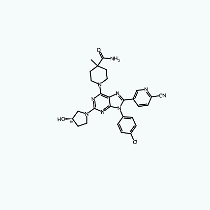 CC1(C(N)=O)CCN(c2nc(N3CC[C@@H](O)C3)nc3c2nc(-c2ccc(C#N)nc2)n3-c2ccc(Cl)cc2)CC1